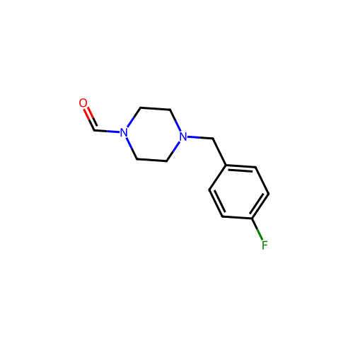 O=CN1CCN(Cc2ccc(F)cc2)CC1